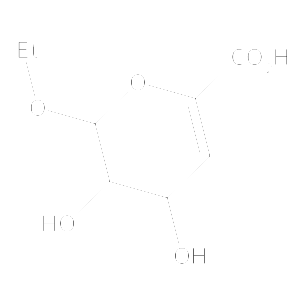 CCOC1OC(C(=O)O)=CC(O)C1O